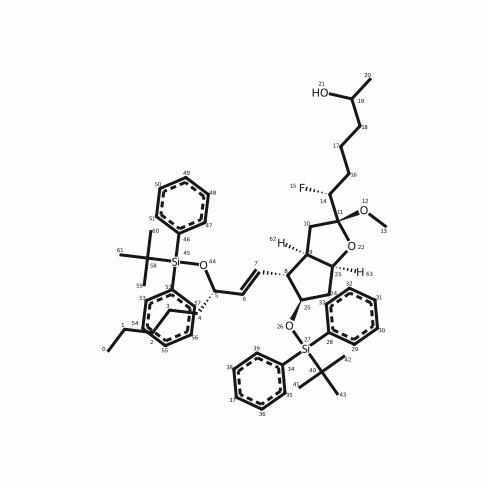 CCCCC[C@@H](/C=C/[C@@H]1[C@H]2C[C@](OC)([C@H](F)CCCC(C)O)O[C@H]2C[C@H]1O[Si](c1ccccc1)(c1ccccc1)C(C)(C)C)O[Si](c1ccccc1)(c1ccccc1)C(C)(C)C